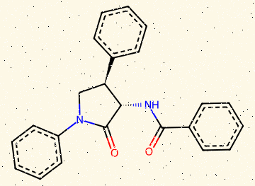 O=C(N[C@@H]1C(=O)N(c2ccccc2)C[C@H]1c1ccccc1)c1ccccc1